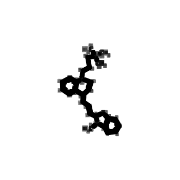 CN1c2ccccc2SC1C=CC=C1C=CN(CCC[N+](C)(C)C)c2ccccc21